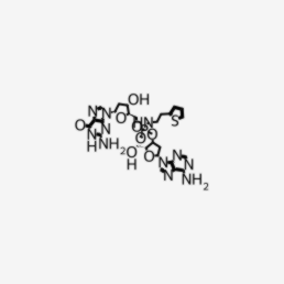 Nc1nc2c(ncn2[C@H]2CC(O)[C@@H](COP(=O)(NCCc3cccs3)OC3C[C@H](n4cnc5c(N)ncnc54)O[C@@H]3CO)O2)c(=O)[nH]1